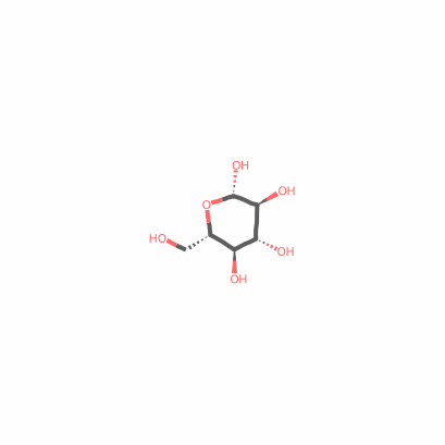 OC[C@@H]1O[C@H](O)[C@@H](O)[C@H](O)[C@H]1O